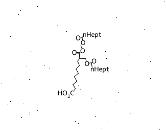 CCCCCCCC(=O)OCOC(=O)C(CCCCCCCCC(=O)O)COC(=O)CCCCCCC